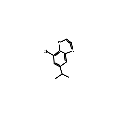 CC(C)c1cc(Cl)c2c(c1)N=C=CS2